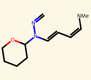 C=NN(/C=C/C=C\NC)C1CCCCO1